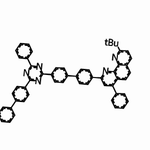 CC(C)(C)c1ccc2ccc3c(-c4ccccc4)cc(-c4ccc(-c5ccc(-c6nc(-c7ccccc7)nc(-c7ccc(-c8ccccc8)cc7)n6)cc5)cc4)nc3c2n1